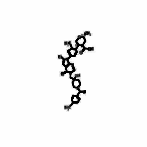 Cc1ccc(C(=O)N2CCC(O)(Cn3cnc4c(cc(Cl)n4-c4ccc([C@H]5CO[C@H](C)CN5C(=O)O)c(C)c4)c3=O)CC2)cc1